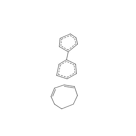 C1=C\CCCC\C=C/1.c1ccc(-c2ccccc2)cc1